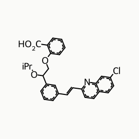 CC(C)OC(COc1ccccc1C(=O)O)c1cccc(/C=C/c2ccc3ccc(Cl)cc3n2)c1